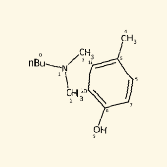 CCCCN(C)C.Cc1ccc(O)cc1